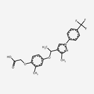 Cc1cc(OC(C)c2cn(-c3ccc(C(F)(F)F)cc3)nc2C)ccc1OCC(=O)O